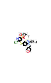 CC(C)(C)c1nc2cc(Sc3cc(S(C)(=O)=O)cnc3Cl)ccc2n1CC1CCOCC1